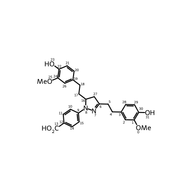 COc1cc(CCC2=NN(c3ccc(C(=O)O)cc3)C(CCc3ccc(O)c(OC)c3)C2)ccc1O